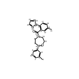 Cc1cncc(N2CCN(C(=O)c3cc(C)ccc3-n3nccn3)CCO2)c1